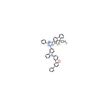 CC1(C)c2ccccc2-c2ccc(-c3nc(-c4ccccc4)nc(-c4ccc5c(c4)c4ccccc4n5-c4ccc5oc6ccc(-c7ccccc7)cc6c5c4)n3)cc21